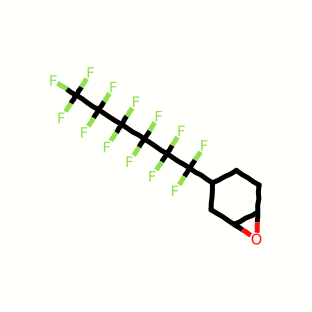 FC(F)(F)C(F)(F)C(F)(F)C(F)(F)C(F)(F)C(F)(F)C1CCC2OC2C1